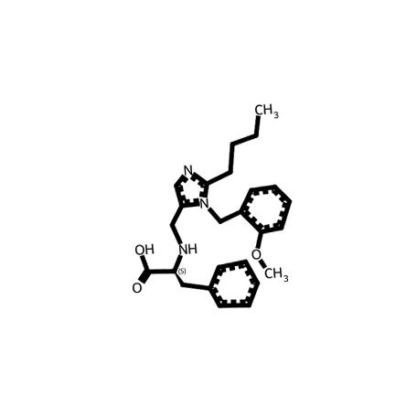 CCCCc1ncc(CN[C@@H](Cc2ccccc2)C(=O)O)n1Cc1ccccc1OC